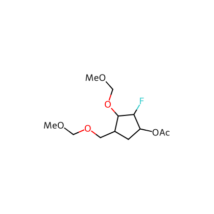 COCOCC1CC(OC(C)=O)C(F)C1OCOC